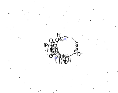 C/C=C1\NC(=O)[C@H]2C[S+]([O-])SSCC/C=C/[C@H](CC(=O)N[C@H](C(C)C)C(=O)N2)OC(=O)[C@H](C(C)C)NC1=O